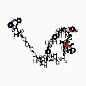 CCCCCCN(C(=O)[C@@H](NC(=O)[C@H]1CCCCN1C)[C@@H](C)CC)[C@H](C[C@@H](OC(C)=O)c1nc(C(=O)N[C@@H](Cc2ccc(F)cc2)CC(C)(C)C(=O)NS(=O)(=O)c2ccc(CNC(=O)OCc3ccc(NC(=O)[C@H](CCCNC(N)=O)NC(=O)[C@@H](NC(=O)CCOCCOCCOCCOCCNC(=O)CCC(=O)N4Cc5ccccc5/C=C\c5ccccc54)C(C)C)cc3)cc2)cs1)C(C)C